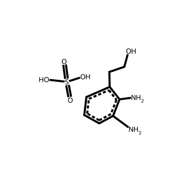 Nc1cccc(CCO)c1N.O=S(=O)(O)O